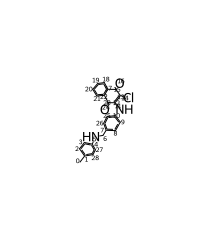 Cc1ccc(NCc2ccc(NC3=C(Cl)C(=O)c4ccccc4C3=O)cc2)cc1